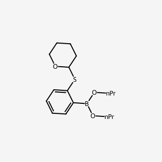 CCCOB(OCCC)c1ccccc1SC1CCCCO1